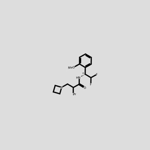 COc1ccccc1[C@@H](NC(=O)C(CN1CCC1)C(C)C)C(F)F